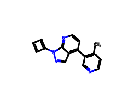 Cc1ccncc1-c1ccnc2c1cnn2C1=CC=C1